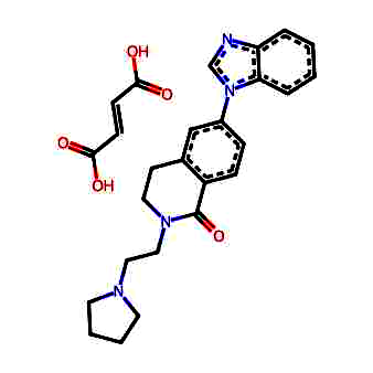 O=C(O)C=CC(=O)O.O=C1c2ccc(-n3cnc4ccccc43)cc2CCN1CCN1CCCC1